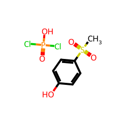 CS(=O)(=O)c1ccc(O)cc1.O=P(O)(Cl)Cl